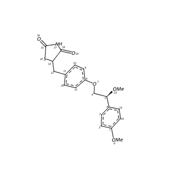 COc1ccc([C@@H](COc2ccc(CC3SC(=O)NC3=O)cc2)OC)cc1